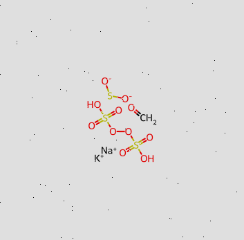 C=O.O=S(=O)(O)OOS(=O)(=O)O.[K+].[Na+].[O-]S[O-]